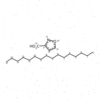 CCCCCCCCCCCCCCCC.O=C(O)c1ccon1